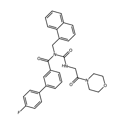 O=C(CNC(=O)N(Cc1cccc2ccccc12)C(=O)c1cccc(-c2ccc(F)cc2)c1)N1CCOCC1